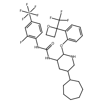 O=C(Nc1ccc(S(F)(F)(F)(F)F)cc1F)NC1CC(C2CCCCCC2)CNC1Oc1ccccc1C1(C(F)(F)F)CCO1